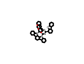 c1ccc(-c2cccc(-n3c4ccccc4c4ccc5c6ccccc6n(-c6nc(-c7ccccc7)nc(-c7cccc8c7oc7ccccc78)n6)c5c43)c2)cc1